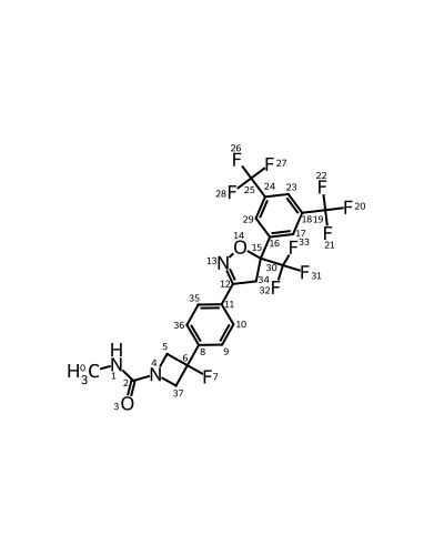 CNC(=O)N1CC(F)(c2ccc(C3=NOC(c4cc(C(F)(F)F)cc(C(F)(F)F)c4)(C(F)(F)F)C3)cc2)C1